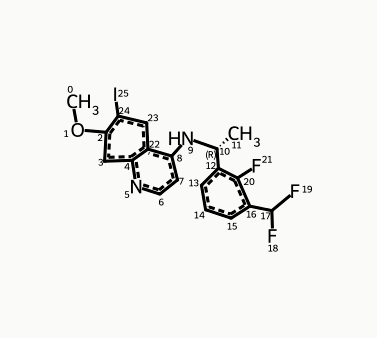 COc1cc2nccc(N[C@H](C)c3cccc(C(F)F)c3F)c2cc1I